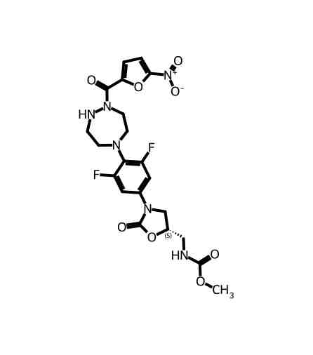 COC(=O)NC[C@H]1CN(c2cc(F)c(N3CCNN(C(=O)c4ccc([N+](=O)[O-])o4)CC3)c(F)c2)C(=O)O1